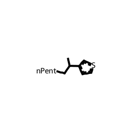 CCCCCCC(C)c1ccsc1